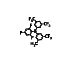 Cc1cc(B(c2cc(C(F)(F)F)cc(C(F)(F)F)c2)c2c(F)cc(F)cc2F)cc(C(F)(F)F)c1